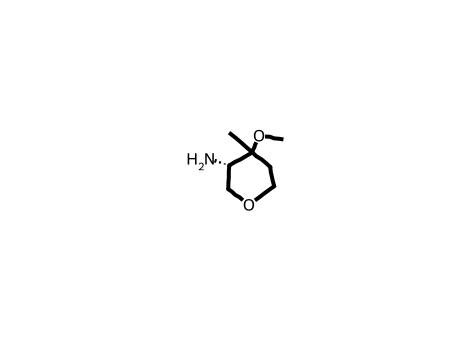 COC1(C)CCOC[C@@H]1N